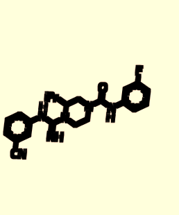 CC(C)C1CN(C(=O)Nc2cccc(F)c2)CCN1C(=N)Nc1cccc(C#N)c1